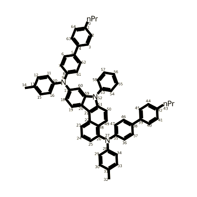 CCCc1ccc(-c2ccc(N(c3ccc(C)cc3)c3ccc4c5c6cccc(N(c7ccc(C)cc7)c7ccc(-c8ccc(CCC)cc8)cc7)c6ccc5n(-c5ccccc5)c4c3)cc2)cc1